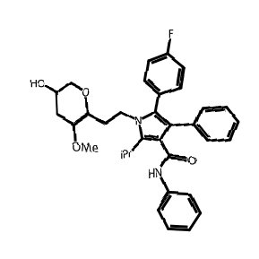 COC1CC(O)COC1CCn1c(-c2ccc(F)cc2)c(-c2ccccc2)c(C(=O)Nc2ccccc2)c1C(C)C